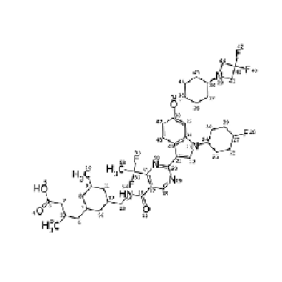 CC(CC(=O)O)CC1CC(C)CC(CNC(=O)c2cnc(-c3cn(C4CCC(F)CC4)c4cc(O[C@H]5CC[C@H](N6CC(F)(F)C6)CC5)ccc34)nc2C(C)(F)F)C1